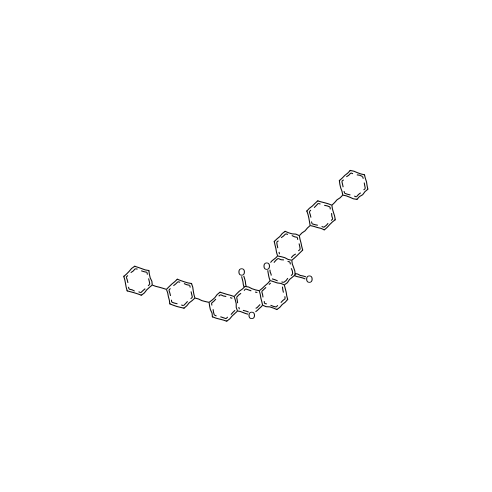 O=c1c2cc(-c3ccc(-c4ccccc4)cc3)ccc2oc2c1ccc1oc3ccc(-c4ccc(-c5ccccc5)cc4)cc3c(=O)c12